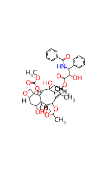 COC(=O)OC12CO[C@@H]1C[C@H](O)[C@@]1(C)C(=O)[C@H](OC(C)=O)C3=C(C)[C@@H](OC(=O)[C@H](O)[C@@H](NC(=O)c4ccccc4)c4ccccc4)C[C@@](O)(C[C@H]21)C3(C)C